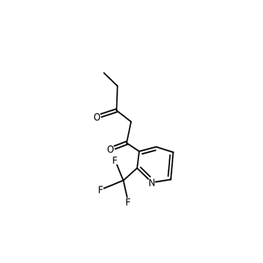 CCC(=O)CC(=O)c1cccnc1C(F)(F)F